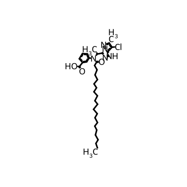 CCCCCCCCCCCCCCCCCCCCCC(=O)N(c1cccc(C(=O)O)c1)C(C)c1n[nH]c2c(Cl)c(C)nn12